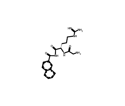 N=C(N)NCCC[C@H](NC(=O)CN)C(=O)NC(=O)c1ccc2ccccc2c1